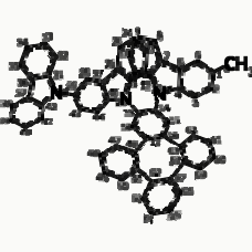 Cc1ccc2c(c1)c1ccccc1n2-c1cc2c(cc1-n1c3ccccc3c3cc(-n4c5ccccc5c5ccccc54)ccc31)-c1ccccc1-c1ccccc1-c1ccccc1-2